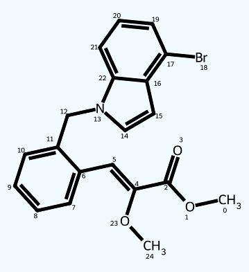 COC(=O)C(=Cc1ccccc1Cn1ccc2c(Br)cccc21)OC